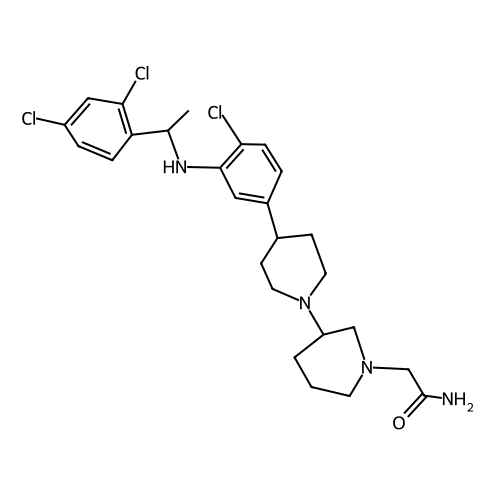 CC(Nc1cc(C2CCN(C3CCCN(CC(N)=O)C3)CC2)ccc1Cl)c1ccc(Cl)cc1Cl